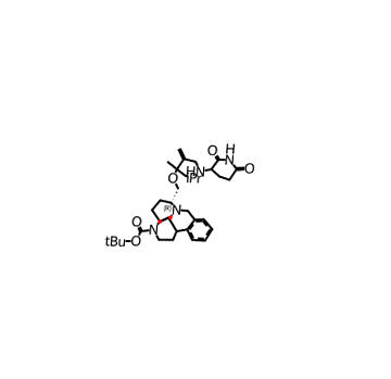 C=C(CNC1CCC(=O)NC1=O)C(C)(OC[C@H]1CCCCN1Cc1ccccc1C1CCN(C(=O)OC(C)(C)C)CC1)C(C)C